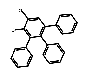 Oc1c(Cl)cc(-c2ccccc2)c(-c2ccccc2)c1-c1ccccc1